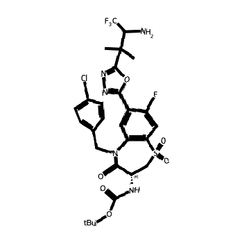 CC(C)(C)OC(=O)N[C@H]1CS(=O)(=O)c2cc(F)c(-c3nnc(C(C)(C)C(N)C(F)(F)F)o3)cc2N(Cc2ccc(Cl)cc2)C1=O